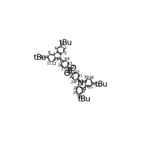 CC(C)(C)c1ccc2c(c1)-c1cc(C(C)(C)C)ccc1C2c1ccc(S(=O)(=O)c2ccc(-n3c4ccc(C(C)(C)C)cc4c4cc(C(C)(C)C)ccc43)cc2)cc1